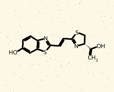 C=C(O)[C@H]1CSC(/C=C/c2nc3ccc(O)cc3s2)=N1